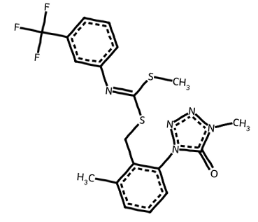 CS/C(=N\c1cccc(C(F)(F)F)c1)SCc1c(C)cccc1-n1nnn(C)c1=O